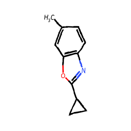 Cc1ccc2nc(C3CC3)oc2c1